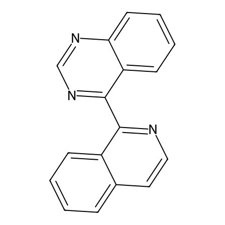 c1ccc2c(-c3ncnc4ccccc34)nccc2c1